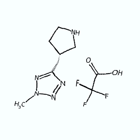 Cn1nnc([C@@H]2CCNC2)n1.O=C(O)C(F)(F)F